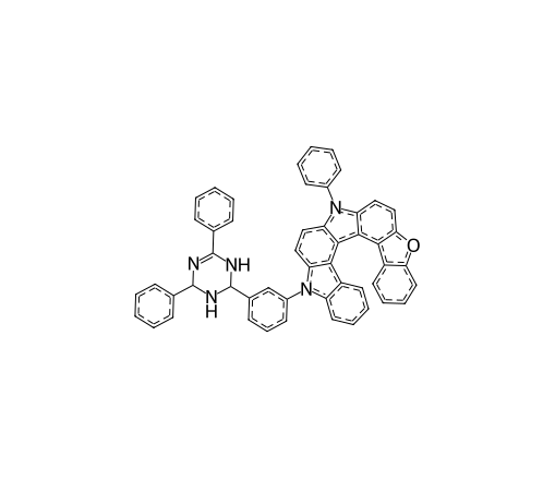 c1ccc(C2=NC(c3ccccc3)NC(c3cccc(-n4c5ccccc5c5c6c7c8c(ccc7n(-c7ccccc7)c6ccc54)oc4ccccc48)c3)N2)cc1